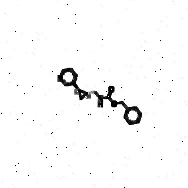 O=C(NC[C@@H]1C[C@H]1c1cccnc1)OCc1ccccc1